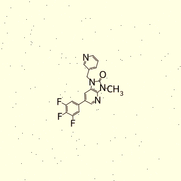 Cn1c(=O)n(Cc2cccnc2)c2cc(-c3cc(F)c(F)c(F)c3)cnc21